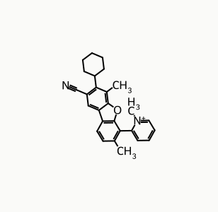 Cc1ccc2c(oc3c(C)c(C4CCCCC4)c(C#N)cc32)c1-c1cccc[n+]1C